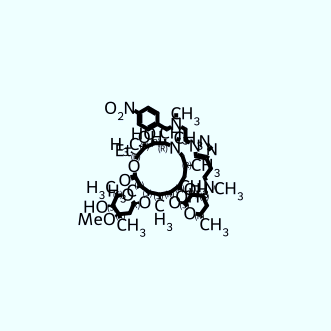 CC[C@H]1OC(=O)[C@H](C)[C@@H](O[C@H]2C[C@@](C)(OC)[C@@H](O)[C@H](C)O2)[C@H](C)[C@@H](O[C@@H]2O[C@H](C)C[C@H](N(C)CCc3cn(CCN(C)Cc4ccc([N+](=O)[O-])cc4)nn3)[C@H]2O)[C@](C)(O)C[C@@H](C)CN(C)[C@H](C)[C@@H](O)[C@]1(C)O